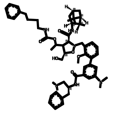 COc1c(CN2O[C@@H](CO)C(C(C)OC(=O)NCCCCc3ccccc3)[C@H]2C(=O)N[C@H]2C[C@H]3C[C@@H]([C@@H]2C)C3(C)C)cccc1-c1cc(C(=O)N[C@@H](Cc2ccccc2)CN(C)C)cc(N(C)C)c1